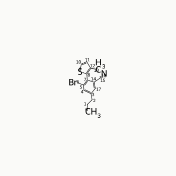 CCCc1cc(Br)c(-c2sccc2C)c(C#N)c1